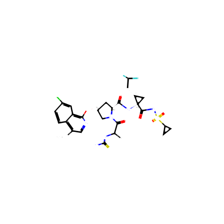 COc1cnc(O[C@@H]2C[C@@H](C(=O)N[C@]3(C(=O)NS(=O)(=O)C4CC4)C[C@H]3CC(F)F)N(C(=O)C(NC(N)=S)C(C)(C)C)C2)c2cc(Cl)ccc12